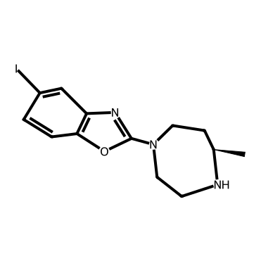 C[C@@H]1CCN(c2nc3cc(I)ccc3o2)CCN1